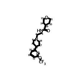 O=C(NCCN1CCC(c2cccc(OC(F)(F)F)n2)CC1)C1CCOCC1